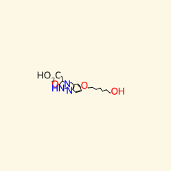 O=C(O)CC1C(=O)NC2=Nc3ccc(OCCCCCCCO)cc3CN21